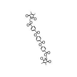 CC1=C(C)C(=O)N(COC(=O)c2ccc(OC(=O)c3ccc(OC(=O)c4ccc(C(=O)OCN5C(=O)C(C)=C(C)C5=O)cc4)cc3)cc2)C1=O